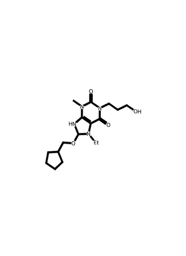 CCN1c2c(n(C)c(=O)n(CCCO)c2=O)NC1OCC1CCCC1